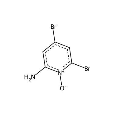 Nc1cc(Br)cc(Br)[n+]1[O-]